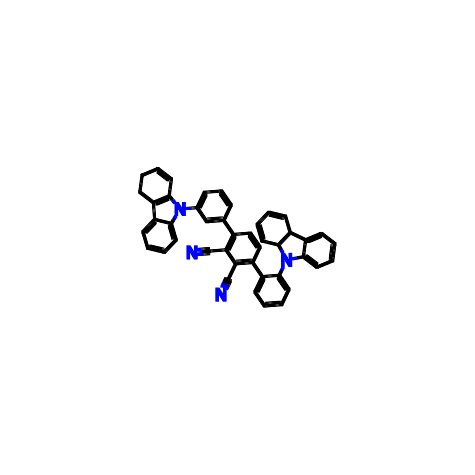 N#Cc1c(-c2cccc(-n3c4c(c5ccccc53)CCC=C4)c2)ccc(-c2ccccc2N2c3ccccc3C3C=CC=CC32)c1C#N